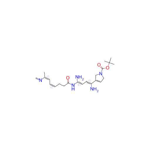 C=N/C(C)=C\C=C/CCC(=O)N/C(N)=C/C=C(\N)C1=CCN(C(=O)OC(C)(C)C)C1